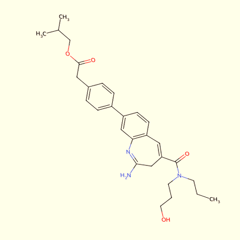 CCCN(CCCO)C(=O)C1=Cc2ccc(-c3ccc(CC(=O)OCC(C)C)cc3)cc2N=C(N)C1